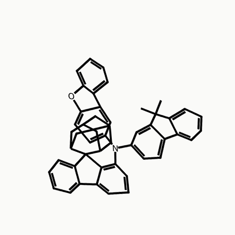 CC1(C)c2ccccc2-c2ccc(N(c3ccc4oc5ccccc5c4c3)c3cccc4c3C3(c5ccccc5-4)C4CC5CC(C4)CC3C5)cc21